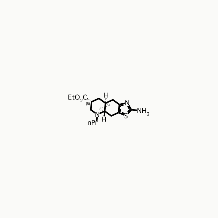 CCCN1C[C@H](C(=O)OCC)C[C@H]2Cc3nc(N)sc3C[C@@H]21